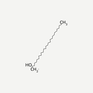 [CH2]C(O)CCCCCCCCCCCCCCCCCCCCCCCCCC